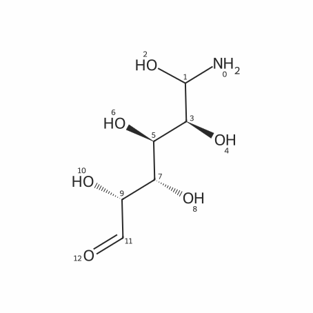 NC(O)[C@@H](O)[C@H](O)[C@H](O)[C@@H](O)C=O